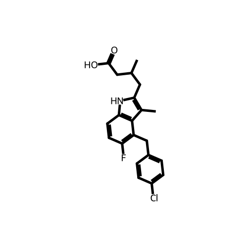 Cc1c(CC(C)CC(=O)O)[nH]c2ccc(F)c(Cc3ccc(Cl)cc3)c12